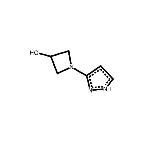 OC1CN(c2cc[nH]n2)C1